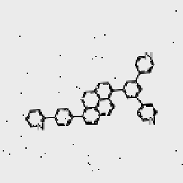 c1ccc(-c2ccc(-c3ccc4ccc5c(-c6cc(-c7ccncc7)cc(-c7ccncc7)c6)ccc6ccc3c4c65)cc2)nc1